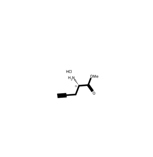 C#CC[C@H](N)C(=O)OC.Cl